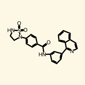 O=C(Nc1cccc(-c2nccc3ccccc23)c1)c1ccc(N2CCNS2(=O)=O)cc1